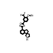 CC(C)Oc1ccc(-c2nc(-c3cccc4c3CCC43CCNC3)no2)cc1C(F)F